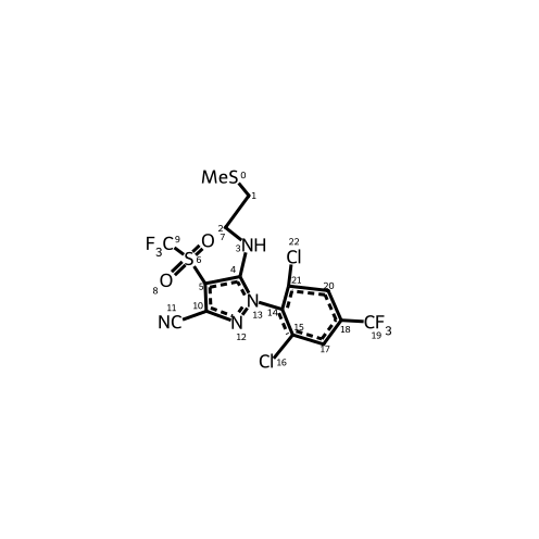 CSCCNc1c(S(=O)(=O)C(F)(F)F)c(C#N)nn1-c1c(Cl)cc(C(F)(F)F)cc1Cl